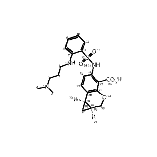 CN(C)CCCNc1ccccc1S(=O)(=O)Nc1ccc2c(c1C(=O)O)OC[C@H]1C[C@@H]21